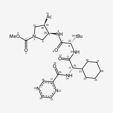 COC(=O)N1C[C@H](NC(=O)[C@@H](NC(=O)[C@@H](NC(=O)c2cnccn2)C2CCCCC2)C(C)(C)C)[C@H](C(C)=O)C1